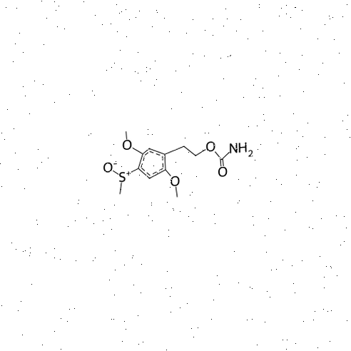 COc1cc([S+](C)[O-])c(OC)cc1CCOC(N)=O